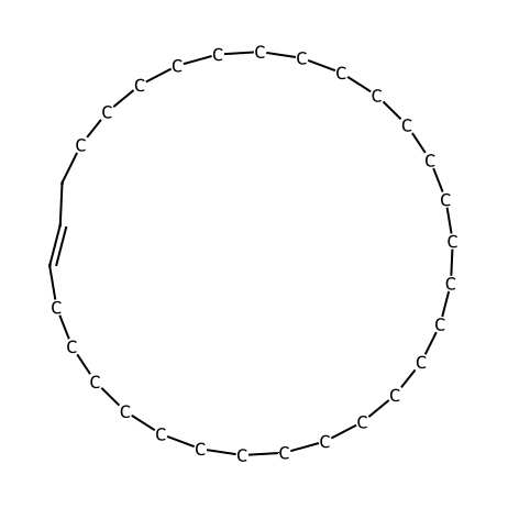 C1=C/CCCCCCCCCCCCCCCCCCCCCCCCCCCC/1